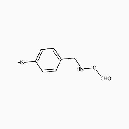 O=CONCc1ccc(S)cc1